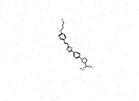 CN(C)C1CCN(c2ccc(-c3nnc(/C=C/c4ccc(OCCCF)cc4)o3)cc2)C1